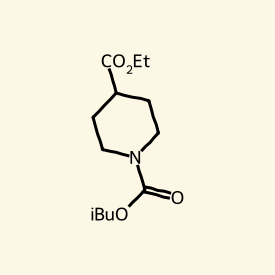 CCOC(=O)C1CCN(C(=O)OCC(C)C)CC1